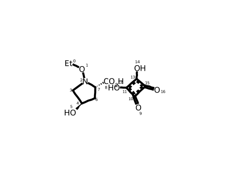 CCON1C[C@H](O)C[C@H]1C(=O)O.O=c1c(O)c(O)c1=O